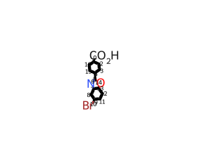 O=C(O)c1ccc(-c2nc3cc(Br)ccc3o2)cc1